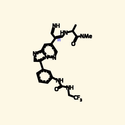 CNC(=O)C(C)N/C=C(\C=N)c1cnn2c(-c3cccc(NC(=O)NCC(F)(F)F)c3)cnc2c1